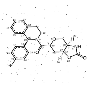 O=C1N[C@@H]2CO[C@@H](C(=O)N3CCc4ccccc4[C@@H]3c3ccc(F)cc3)C[C@@H]2O1